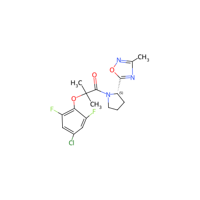 Cc1noc([C@@H]2CCCN2C(=O)C(C)(C)Oc2c(F)cc(Cl)cc2F)n1